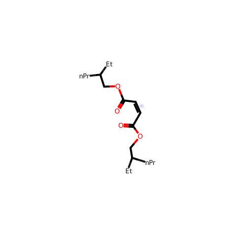 CCCC(CC)COC(=O)/C=C\C(=O)OCC(CC)CCC